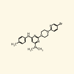 Cc1ccc(Nc2cc(N(C)C)nc(N3CCN(c4ccc(Br)cn4)CC3)n2)cc1